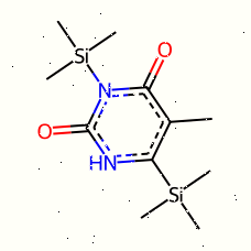 Cc1c([Si](C)(C)C)[nH]c(=O)n([Si](C)(C)C)c1=O